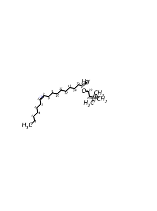 CCCCCC/C=C\CCCCCCCC[PH](=O)OCC[N+](C)(C)C